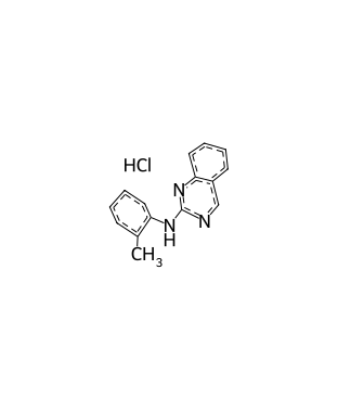 Cc1ccccc1Nc1ncc2ccccc2n1.Cl